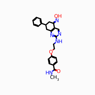 CNC(=O)c1ccc(OCCNc2ncc3c(n2)CC(c2ccccc2)C/C3=N\O)cc1